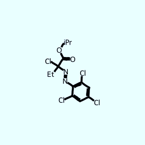 CCC(Cl)(/N=N/c1c(Cl)cc(Cl)cc1Cl)C(=O)OC(C)C